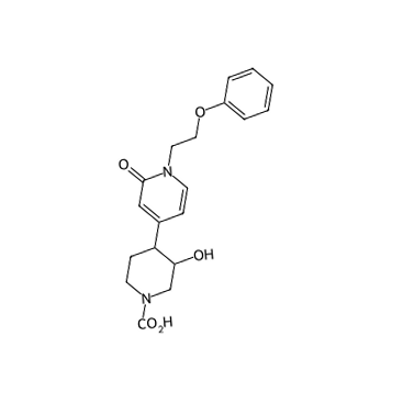 O=C(O)N1CCC(c2ccn(CCOc3ccccc3)c(=O)c2)C(O)C1